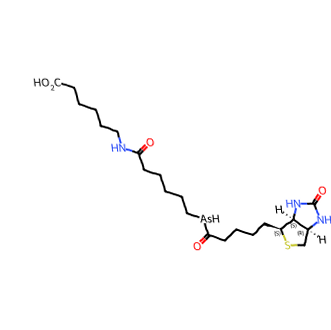 O=C(O)CCCCCNC(=O)CCCCC[AsH]C(=O)CCCC[C@@H]1SC[C@@H]2NC(=O)N[C@@H]21